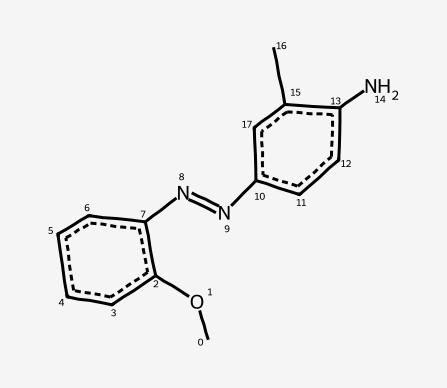 COc1ccccc1N=Nc1ccc(N)c(C)c1